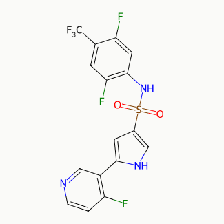 O=S(=O)(Nc1cc(F)c(C(F)(F)F)cc1F)c1c[nH]c(-c2cnccc2F)c1